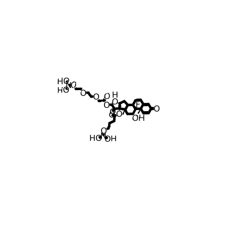 C[C@]12C=CC(=O)C=C1CCC1C3C[C@@H](O)[C@](OC(=O)CCCON(O)O)(C(=O)COC(=O)COCCOCCON(O)O)[C@@]3(C)C[C@H](O)[C@@]12F